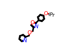 CC(C)Oc1ccc(-c2nc(COCc3ccccn3)co2)cc1